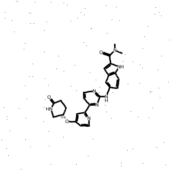 CN(C)C(=O)c1cc2cc(Nc3nccc(-c4cc(O[C@H]5CCC(=O)NC5)ccn4)n3)ccc2[nH]1